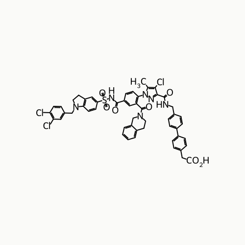 Cc1c(Cl)c(C(=O)NCc2ccc(-c3ccc(CC(=O)O)cc3)cc2)nn1-c1ccc(C(=O)NS(=O)(=O)c2ccc3c(c2)CCN3Cc2ccc(Cl)c(Cl)c2)cc1C(=O)N1CCc2ccccc2C1